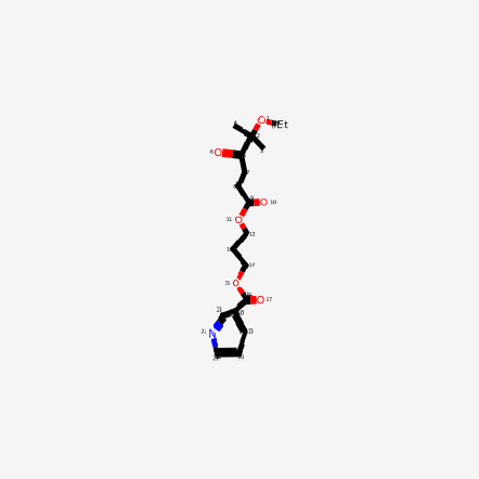 CCOC(C)(C)C(=O)CCC(=O)OCCCOC(=O)c1cccnc1